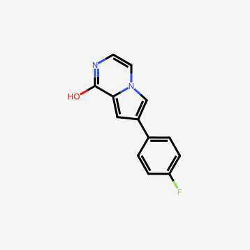 Oc1nccn2cc(-c3ccc(F)cc3)cc12